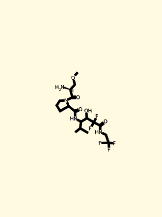 COC[C@H](N)C(=O)N1CCCC1C(=O)NC(C(C)C)C(O)C(F)(F)C(=O)NCC(F)(F)F